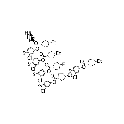 CCC1CCC(C(=O)Oc2ccc([S])c(Cl)c2)CC1.CCC1CCC(C(=O)Oc2ccc([S])c(Cl)c2)CC1.CCC1CCC(C(=O)Oc2ccc([S])c(Cl)c2)CC1.CCC1CCC(C(=O)Oc2ccc([S])c(Cl)c2)CC1.CCC1CCC(C(=O)Oc2ccc([S])c(Cl)c2)CC1.F.F.F.F.F